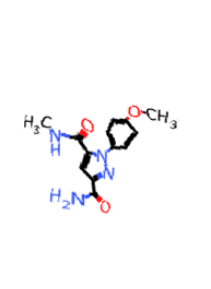 CNC(=O)c1cc(C(N)=O)nn1-c1ccc(OC)cc1